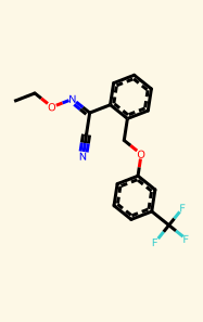 CCO/N=C(\C#N)c1ccccc1COc1cccc(C(F)(F)F)c1